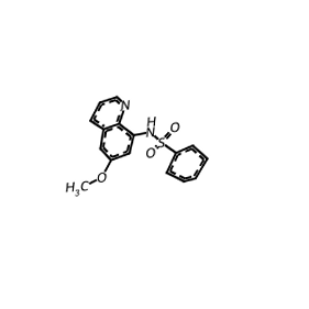 COc1cc(NS(=O)(=O)c2ccccc2)c2ncccc2c1